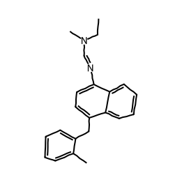 CCN(C)/C=N/c1ccc(Cc2ccccc2C)c2ccccc12